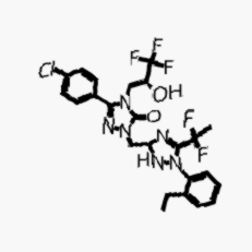 CCc1ccccc1N1NC(Cn2nc(-c3ccc(Cl)cc3)n(C[C@H](O)C(F)(F)F)c2=O)N=C1C(C)(F)F